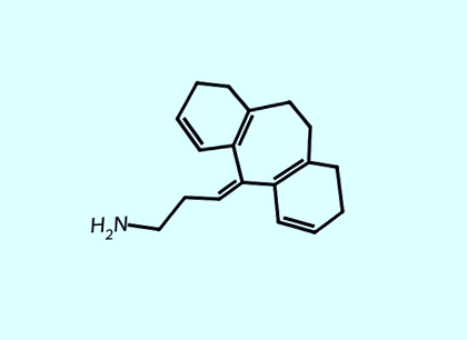 NCCC=C1C2=C(CCC=C2)CCC2=C1C=CCC2